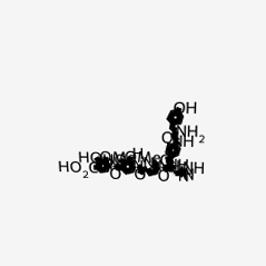 COc1c(NC(=O)c2ccc(NC(=O)c3ccc(NC(=O)[C@H](Cc4c[nH]nn4)NC(=O)c4ccc(NC(=O)C(N)Cc5ccc(O)cc5)cc4)cn3)c(OC)c2O)ccc(C(=O)O)c1O